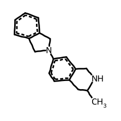 CC1Cc2ccc(N3Cc4ccccc4C3)cc2CN1